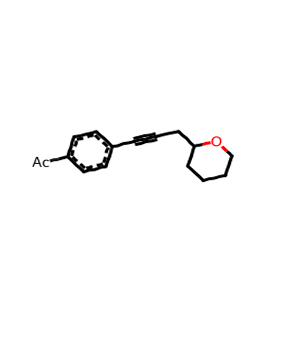 CC(=O)c1ccc(C#CCC2CCCCO2)cc1